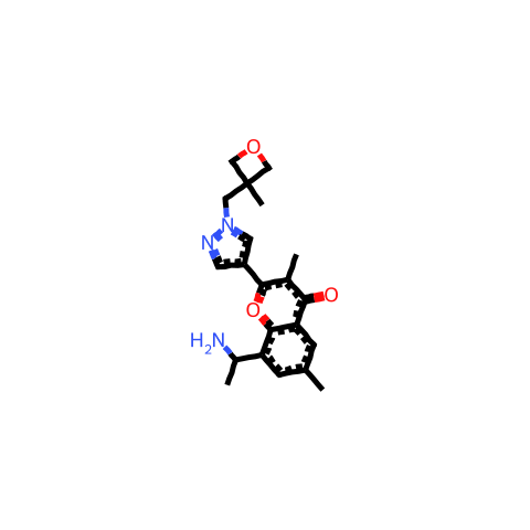 Cc1cc(C(C)N)c2oc(-c3cnn(CC4(C)COC4)c3)c(C)c(=O)c2c1